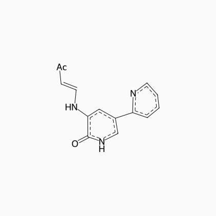 CC(=O)C=CNc1cc(-c2ccccn2)c[nH]c1=O